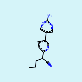 CCCC(C#N)c1ccc(-c2cnc(N)nc2)cn1